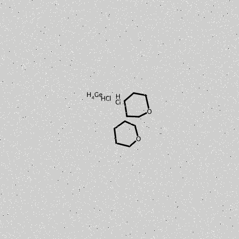 C1CCOCC1.C1CCOCC1.Cl.Cl.[GeH4]